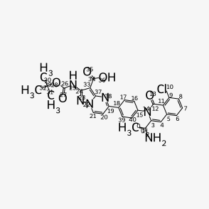 C[C@H](N)c1cc2cccc(Cl)c2c(=O)n1-c1ccc(-c2ccn3nc(NC(=O)OC(C)(C)C)c(C(=O)O)c3n2)cc1